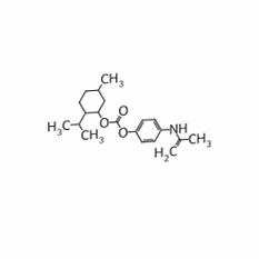 C=C(C)Nc1ccc(OC(=O)OC2CC(C)CCC2C(C)C)cc1